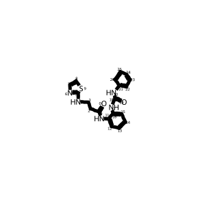 O=C(CCNc1nccs1)Nc1ccccc1NC(=O)Nc1ccccc1